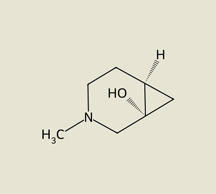 CN1CC[C@H]2C[C@@]2(O)C1